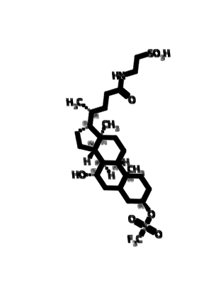 C[C@H](CCC(=O)NCCS(=O)(=O)O)[C@H]1CC[C@H]2[C@@H]3[C@@H](O)CC4C[C@H](OS(=O)(=O)C(F)(F)F)CC[C@]4(C)[C@H]3CC[C@]12C